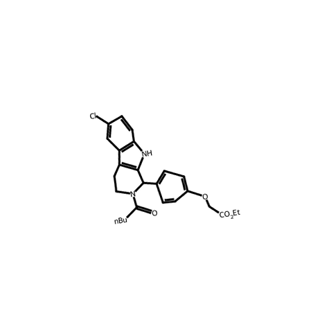 CCCCC(=O)N1CCc2c([nH]c3ccc(Cl)cc23)C1c1ccc(OCC(=O)OCC)cc1